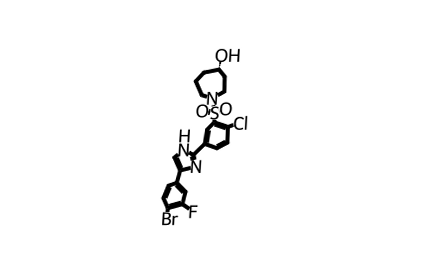 O=S(=O)(c1cc(-c2nc(-c3ccc(Br)c(F)c3)c[nH]2)ccc1Cl)N1CCC[C@H](O)CC1